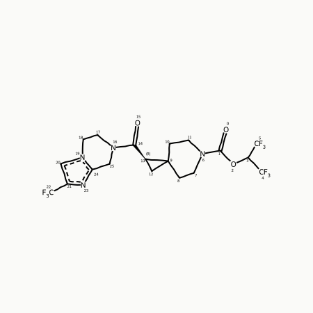 O=C(OC(C(F)(F)F)C(F)(F)F)N1CCC2(CC1)C[C@H]2C(=O)N1CCn2cc(C(F)(F)F)nc2C1